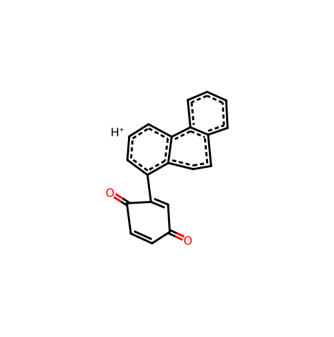 O=C1C=CC(=O)C(c2cccc3c2ccc2ccccc23)=C1.[H+]